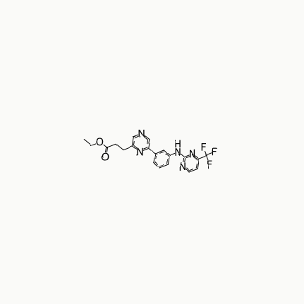 CCOC(=O)CCc1cncc(-c2cccc(Nc3nccc(C(F)(F)F)n3)c2)n1